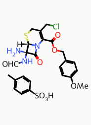 COc1ccc(COC(=O)C2=C(CCl)CS[C@@H]3N2C(=O)[C@]3(N)NC=O)cc1.Cc1ccc(S(=O)(=O)O)cc1